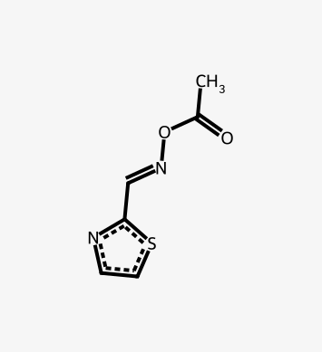 CC(=O)ON=Cc1nccs1